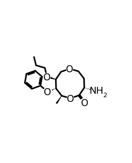 CCCO[C@H]1COCC[C@H](N)C(=O)O[C@@H](C)[C@@H]1Oc1ccccc1